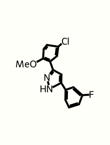 COc1ccc(Cl)cc1-c1cc(-c2cccc(F)c2)[nH]n1